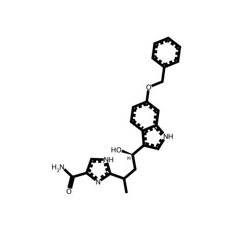 CC(C[C@@H](O)c1c[nH]c2cc(OCc3ccccc3)ccc12)c1nc(C(N)=O)c[nH]1